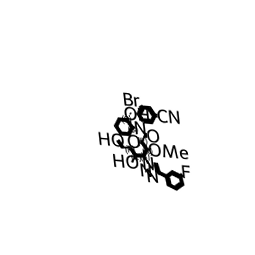 CO[C@@H]1[C@@H](n2cc(-c3cccc(F)c3)nn2)[C@@H](O)[C@@H](CO)O[C@H]1C(=O)N(c1cc(Br)cc(C#N)c1)[C@H]1CCCC[C@@H]1O